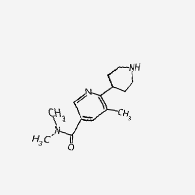 Cc1cc(C(=O)N(C)C)cnc1C1CCNCC1